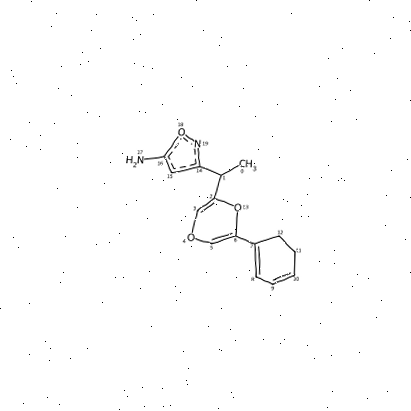 CC(C1=COC=C(C2=CC=CCC2)O1)c1cc(N)on1